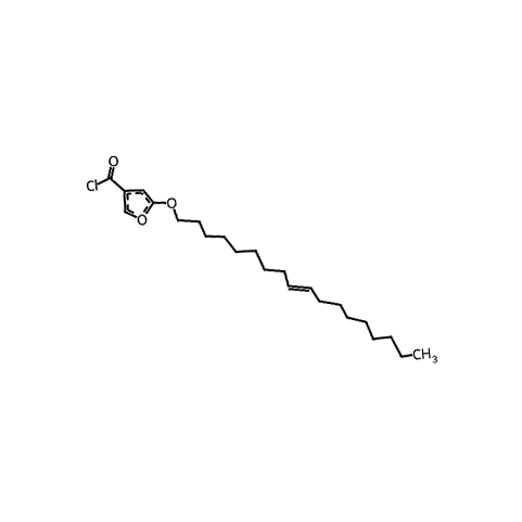 CCCCCCCCC=CCCCCCCCCOc1cc(C(=O)Cl)co1